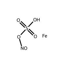 O=NOS(=O)(=O)O.[Fe]